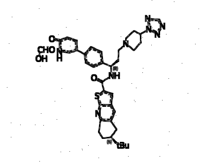 CC(C)(C)[C@H]1CCc2nc3sc(C(=O)N[C@H](CCN4CCC(n5ncnn5)CC4)c4ccc(-c5ccc(=O)[nH]c5)cc4)cc3cc2C1.O=CO